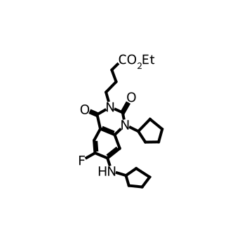 CCOC(=O)CCCn1c(=O)c2cc(F)c(NC3CCCC3)cc2n(C2CCCC2)c1=O